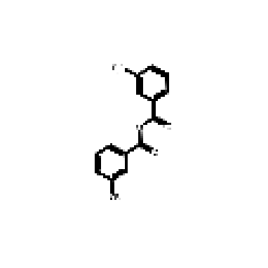 O=C(OC(=O)c1cccc(C(F)(F)F)c1)c1cccc(C(F)(F)F)c1